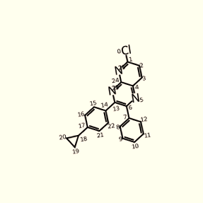 Clc1ccc2nc(-c3ccccc3)c(-c3ccc(C4CC4)cc3)nc2n1